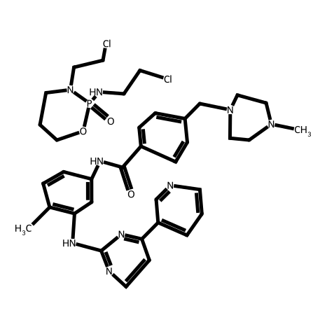 Cc1ccc(NC(=O)c2ccc(CN3CCN(C)CC3)cc2)cc1Nc1nccc(-c2cccnc2)n1.O=P1(NCCCl)OCCCN1CCCl